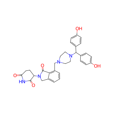 O=C1CCC(N2Cc3cccc(CN4CCN(C(c5ccc(O)cc5)c5ccc(O)cc5)CC4)c3C2=O)C(=O)N1